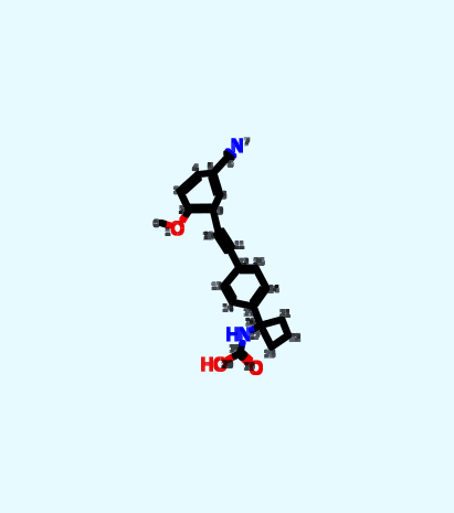 COc1ccc(C#N)cc1C#Cc1ccc(C2(NC(=O)O)CCC2)cc1